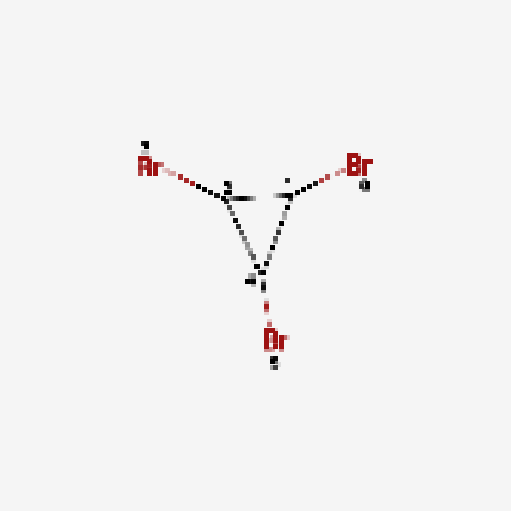 BrC1C(Br)C1Br